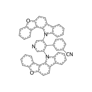 N#Cc1cccc(-c2c(-n3c4ccccc4c4ccc5oc6ccccc6c5c43)cncc2-n2c3ccccc3c3ccc4oc5ccccc5c4c32)c1